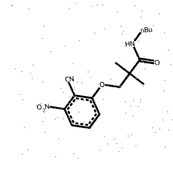 CCCCNC(=O)C(C)(C)COc1cccc([N+](=O)[O-])c1C#N